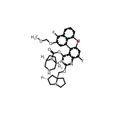 COCOc1cc(-c2c(F)cc(F)c3nc(OC[C@@]45CCCN4C[C@H](F)C5)nc(OC(=O)N4[C@@H]5CC[C@@]4(C)CNC5)c23)c2c(Cl)cccc2c1F